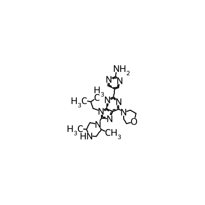 CC(C)Cn1c(N2CC(C)NCC2C)nc2c(N3CCOCC3)nc(-c3cnc(N)nc3)nc21